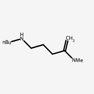 C=C(CCCNCCCC)NC